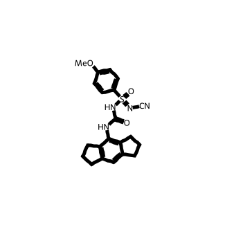 COc1ccc(S(=O)(=NC#N)NC(=O)Nc2c3c(cc4c2CCC4)CCC3)cc1